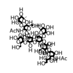 CC(=O)N[C@H]1[C@H](O[C@H]2[C@@H](O)[C@@H](CO[C@@H]3O[C@H](CO)[C@@H](O)[C@H](O[C@@H]4O[C@@H](C)[C@@H](O)[C@@H](O)[C@@H]4O)[C@H]3NC(C)=O)O[C@@H](O[C@H]3[C@H](O)[C@@H](O)[C@H](O)O[C@@H]3CO)[C@@H]2O)O[C@H](CO)[C@@H](O[C@@H]2O[C@@H](C)[C@@H](O)[C@@H](O)[C@@H]2O)[C@@H]1O[C@@H]1O[C@H](CO)[C@H](O)[C@H](O[C@]2(C(=O)O)C[C@H](O)[C@@H](NC(C)=O)[C@H]([C@H](O)[C@H](O)CO)O2)[C@H]1O